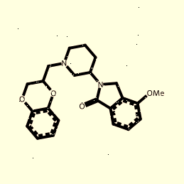 COc1cccc2c1CN(C1CCCN(CC3COc4ccccc4O3)C1)C2=O